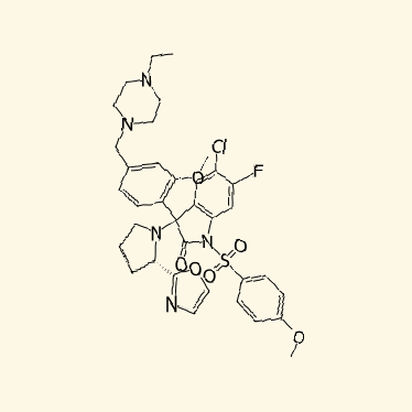 CCN1CCN(Cc2ccc(C3(N4CCC[C@H]4c4ncco4)C(=O)N(S(=O)(=O)c4ccc(OC)cc4)c4cc(F)c(Cl)cc43)c(OC)c2)CC1